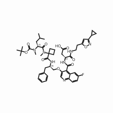 CC(C)C[C@@H](C(=O)N(C)C1(C(=O)N[C@@H](COc2cnc3ccc(F)cc3c2C(=O)N[C@@H](CC(=O)O)C(=O)NCCc2cc(C3CC3)no2)Cc2ccccc2)CCC1)N(C)C(=O)OC(C)(C)C